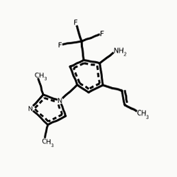 CC=Cc1cc(-n2cc(C)nc2C)cc(C(F)(F)F)c1N